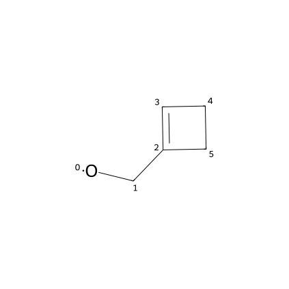 [O]CC1=CCC1